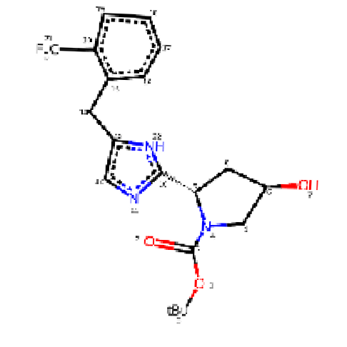 CC(C)(C)OC(=O)N1C[C@H](O)C[C@H]1c1ncc(Cc2ccccc2C(F)(F)F)[nH]1